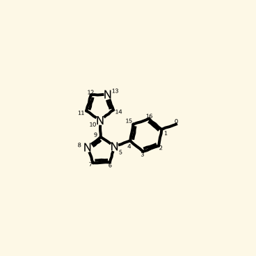 Cc1ccc(-n2ccnc2-n2ccnc2)cc1